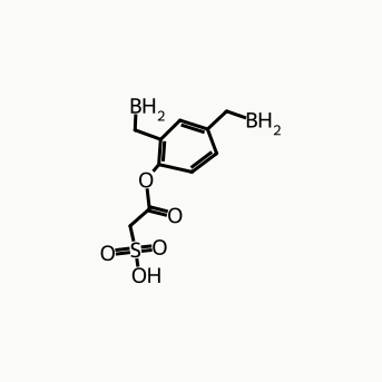 BCc1ccc(OC(=O)CS(=O)(=O)O)c(CB)c1